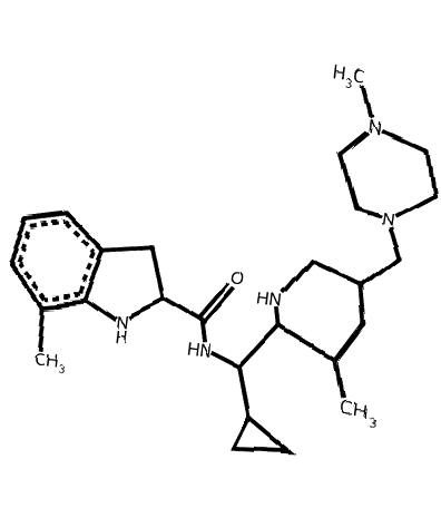 Cc1cccc2c1NC(C(=O)NC(C1CC1)C1NCC(CN3CCN(C)CC3)CC1C)C2